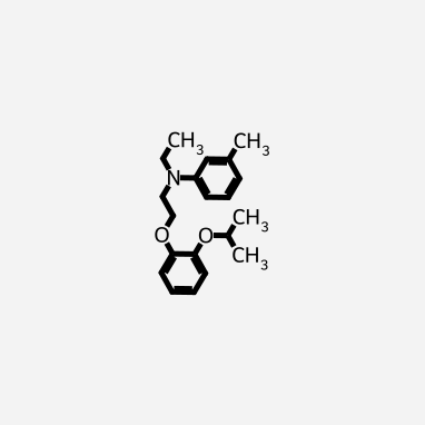 CCN(CCOc1ccccc1OC(C)C)c1cccc(C)c1